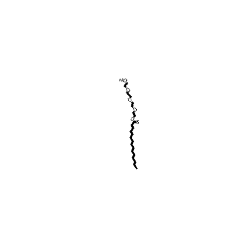 CCCCCCCCCCCCCCC(=S)OCCOCCOCCOCCO